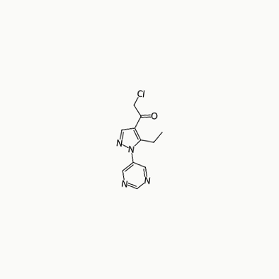 CCc1c(C(=O)CCl)cnn1-c1cncnc1